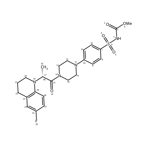 COC(=O)NS(=O)(=O)c1ccc(N2CCN(C(=O)[C@@H](C)N3CCCc4cc(F)ccc43)CC2)cc1